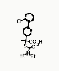 CCN(CC)C(=O)SC(C)(C(=O)O)c1ccc(-c2ccccc2Cl)cc1